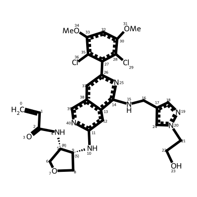 C=CC(=O)N[C@H]1COC[C@H]1Nc1cc2c(NCc3cnn(CCO)c3)nc(-c3c(Cl)c(OC)cc(OC)c3Cl)cc2cn1